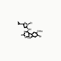 CCn1nc(C2CC2)cc1Nc1nc(C)nc2[nH]c3cc(Br)c(OC)cc3c12